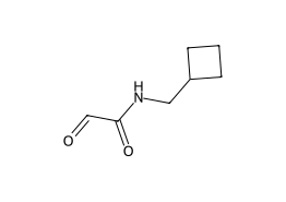 O=CC(=O)NCC1CCC1